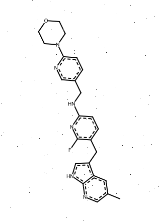 Cc1cnc2[nH]cc(Cc3ccc(NCc4ccc(N5CCOCC5)nc4)nc3F)c2c1